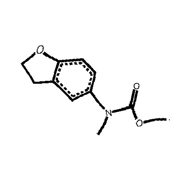 [CH2]OC(=O)N(C)c1ccc2c(c1)CCO2